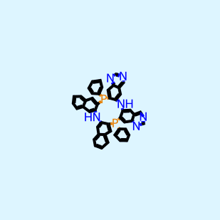 c1ccc(P2c3cc4ccccc4cc3Nc3cc4ccccc4cc3P(c3ccccc3)c3cc4ncncc4cc3Nc3cc4cncnc4cc32)cc1